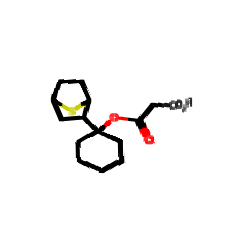 O=C(O)CC(=O)OC1(C2CC3CCC2S3)CCCCC1